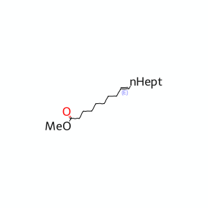 CCCCCCC/C=C/CCCCCCCC(=O)OC